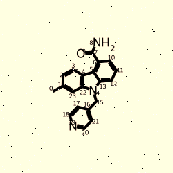 Cc1c[c]c2c3c(C(N)=O)cccc3n(Cc3ccncc3)c2c1